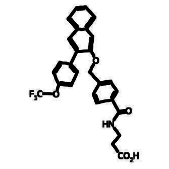 O=C(O)CCNC(=O)c1ccc(COc2cc3ccccc3cc2-c2ccc(OC(F)(F)F)cc2)cc1